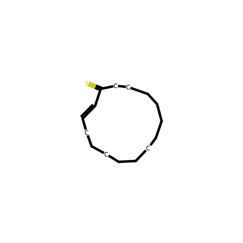 S=C1/C=C/CCCCCCCCCCCC1